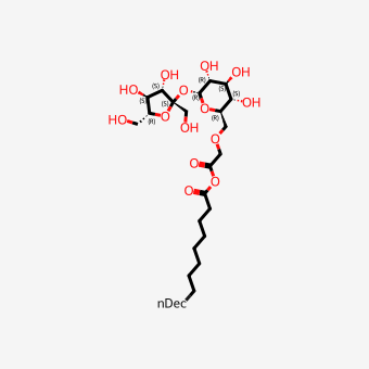 CCCCCCCCCCCCCCCCCC(=O)OC(=O)COC[C@H]1O[C@H](O[C@]2(CO)O[C@H](CO)[C@@H](O)[C@@H]2O)[C@H](O)[C@@H](O)[C@@H]1O